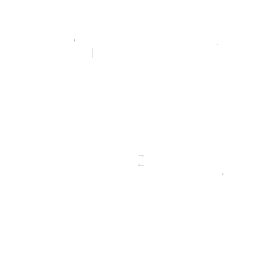 CC1C=C(c2ccccc2)C=[C]1[Zr+2](=[C](c1ccccc1)c1ccccc1)[c]1cc(C(C)(C)C)cc2c1Cc1ccc(C(C)(C)C)cc1-2.[Cl-].[Cl-]